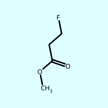 COC(=O)CCF